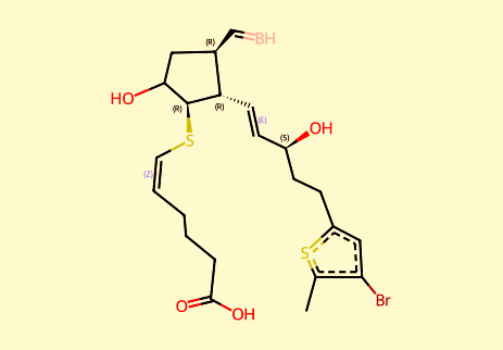 B=C[C@@H]1CC(O)[C@H](S/C=C\CCCC(=O)O)[C@H]1/C=C/[C@@H](O)CCc1cc(Br)c(C)s1